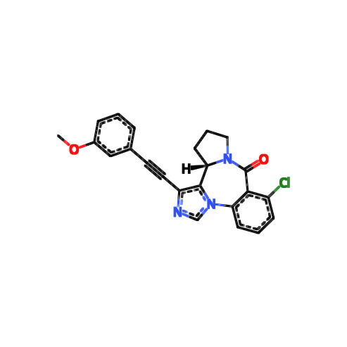 COc1cccc(C#Cc2ncn3c2[C@@H]2CCCN2C(=O)c2c(Cl)cccc2-3)c1